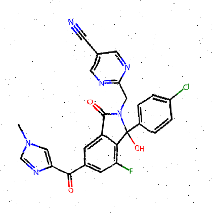 Cn1cnc(C(=O)c2cc(F)c3c(c2)C(=O)N(Cc2ncc(C#N)cn2)C3(O)c2ccc(Cl)cc2)c1